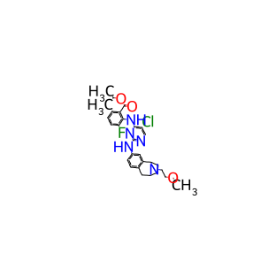 COCCN1C2CCC1c1cc(Nc3ncc(Cl)c(Nc4c(F)cccc4C(=O)OC(C)C)n3)ccc1C2